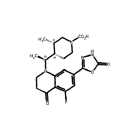 C[C@@H]1CN(C(=O)O)CC[C@@H]1[C@H](C)N1CCC(=O)c2c(F)cc(-c3n[nH]c(=O)o3)cc21